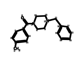 Cc1ccc(C(=O)N2CCN(Cc3ccccc3)CC2)cc1